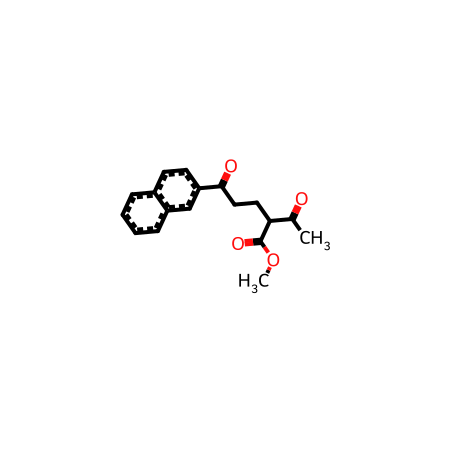 COC(=O)C(CCC(=O)c1ccc2ccccc2c1)C(C)=O